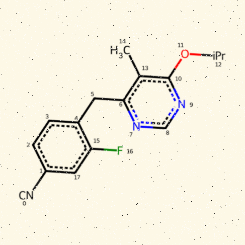 [C-]#[N+]c1ccc(Cc2ncnc(OC(C)C)c2C)c(F)c1